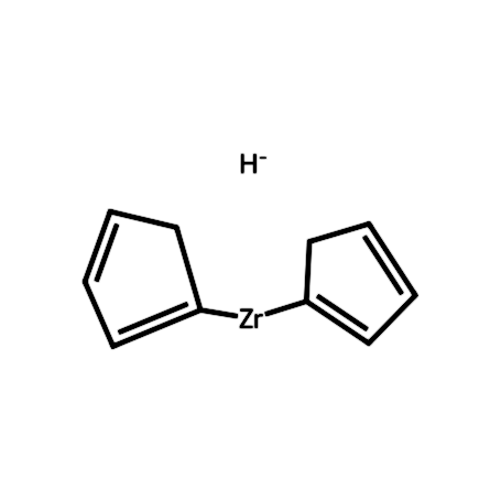 C1=CC[C]([Zr][C]2=CC=CC2)=C1.[H-]